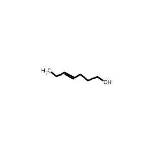 CC/C=C/CCCO